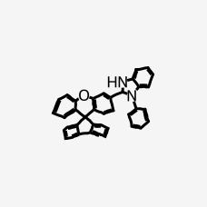 c1ccc(N2c3ccccc3NC2c2ccc3c(c2)Oc2ccccc2C32c3ccccc3-c3ccccc32)cc1